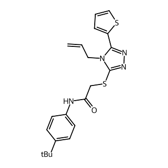 C=CCn1c(SCC(=O)Nc2ccc(C(C)(C)C)cc2)nnc1-c1cccs1